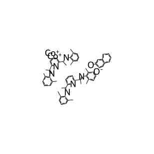 CC(=Nc1c(C)cccc1C)c1cccc(C(C)=Nc2c(C)cccc2C)n1.CC(=Nc1c(C)cccc1C)c1cccc(C(C)=Nc2c(C)cccc2C)n1.[Co+].[Co+].[O-]c1cc2ccccc2cc1[O-]